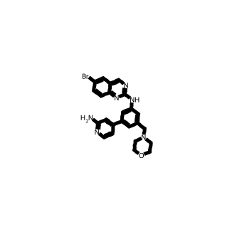 Nc1cc(-c2cc(CN3CCOCC3)cc(Nc3ncc4cc(Br)ccc4n3)c2)ccn1